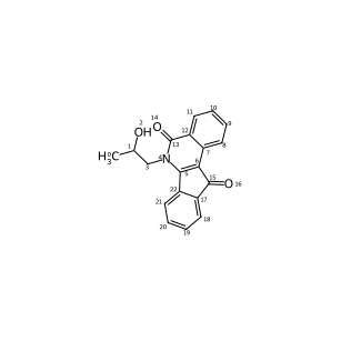 CC(O)Cn1c2c(c3ccccc3c1=O)C(=O)c1ccccc1-2